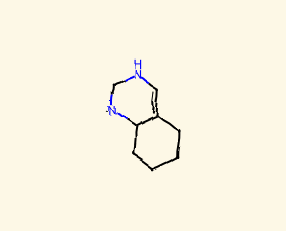 C1=C2CCCCC2[N]CN1